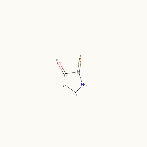 O=C1CC[N]C1=S